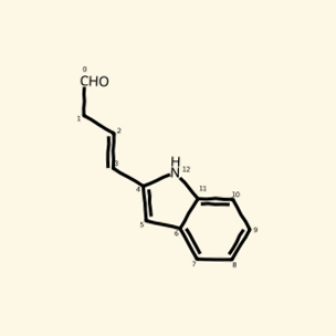 O=CCC=Cc1cc2ccccc2[nH]1